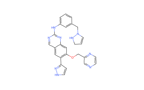 C1=CN(Cc2cccc(Nc3ncc4cc(-c5cc[nH]n5)c(OCc5cnccn5)cc4n3)c2)NC1